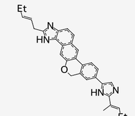 CCC=CCc1nc2ccc3cc4c(cc3c2[nH]1)OCc1cc(-c2cnc(C(C)=CCC)[nH]2)ccc1-4